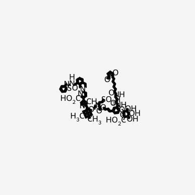 Cc1c(-c2ccc(N3CCc4cccc(C(=O)Nc5nc6ccccc6s5)c4C3)nc2C(=O)O)cnn1CC12CC3(C)CC4(C)CC(OCCN(CCS(=O)(=O)O)C(=O)OC/C=C/c5ccc(O[C@@H]6O[C@H](C(=O)O)C(O)[C@H](O)C6O)c(NC(=O)CCNC(=O)CCCCCN6C(=O)C=CC6=O)c5)(C1)C342